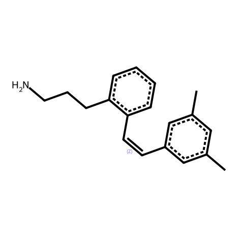 Cc1cc(C)cc(/C=C\c2ccccc2CCCN)c1